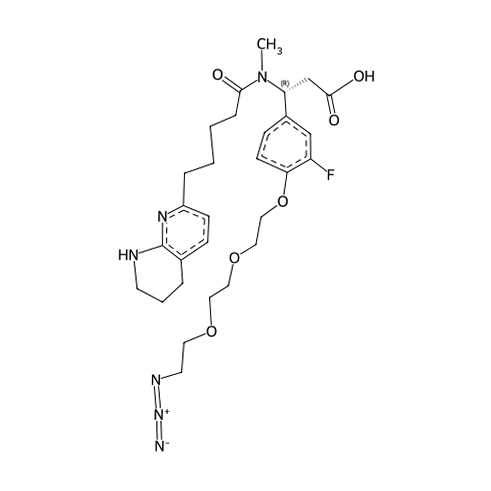 CN(C(=O)CCCCc1ccc2c(n1)NCCC2)[C@H](CC(=O)O)c1ccc(OCCOCCOCCN=[N+]=[N-])c(F)c1